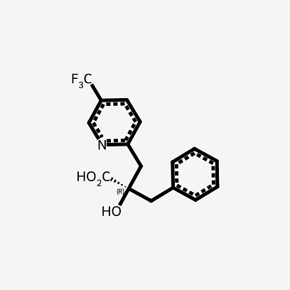 O=C(O)[C@@](O)(Cc1ccccc1)Cc1ccc(C(F)(F)F)cn1